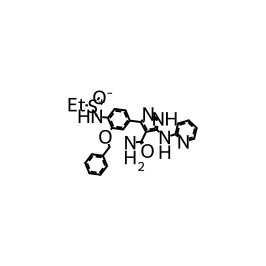 CC[S+]([O-])Nc1ccc(-c2n[nH]c(Nc3ccccn3)c2C(N)=O)cc1OCc1ccccc1